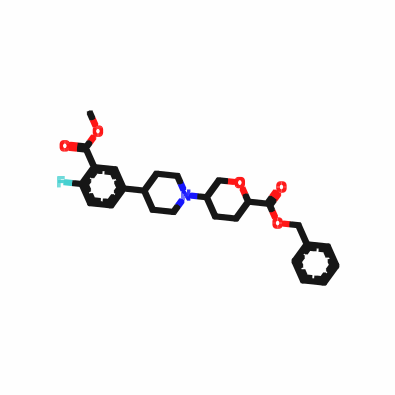 COC(=O)c1cc(C2CCN(C3CCC(C(=O)OCc4ccccc4)OC3)CC2)ccc1F